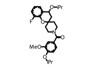 COc1cc(C(=O)N2CCC3(CC2)CC(OC(C)C)c2cccc(F)c2O3)ccc1OC(C)C